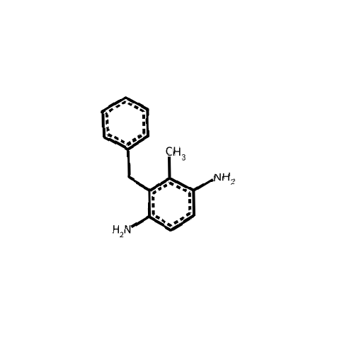 Cc1c(N)ccc(N)c1Cc1ccccc1